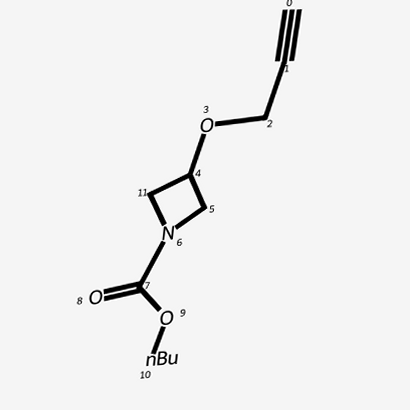 C#CCOC1CN(C(=O)OCCCC)C1